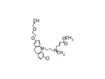 C#CCOCCOc1ccc2c(c1)CCc1ccc(Cl)cc1N2CCCCN(C)C/C=C/C(=O)OC